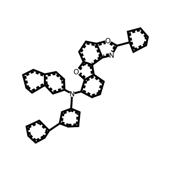 c1ccc(-c2cccc(N(c3ccc4ccccc4c3)c3cccc4c3oc3ccc5oc(-c6ccccc6)nc5c34)c2)cc1